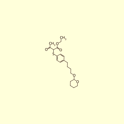 CCOC(=O)C(Sc1ccc(CCCCOC2CCCCO2)cc1)C(C)=O